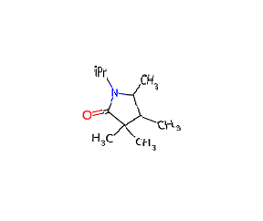 CC(C)N1C(=O)C(C)(C)C(C)C1C